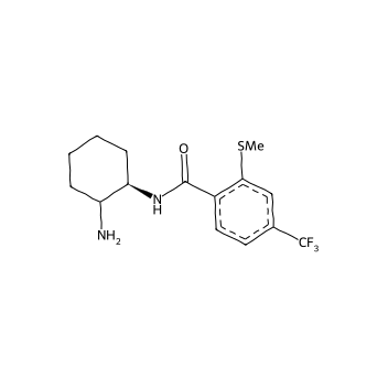 CSc1cc(C(F)(F)F)ccc1C(=O)N[C@@H]1CCCCC1N